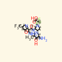 C[C@H]1CN(c2ccncc2NC(=O)c2c(N)oc3cc(C(F)(F)F)cnc23)C[C@@H](N)[C@@H]1O.O=C(O)C(F)(F)F